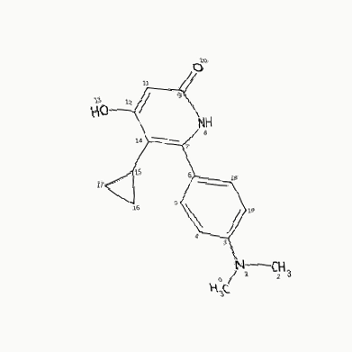 CN(C)c1ccc(-c2[nH]c(=O)cc(O)c2C2CC2)cc1